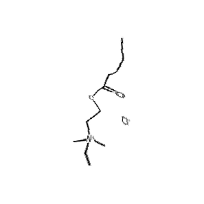 CCCC(=O)OCC[N+](C)(C)C.[Cl-]